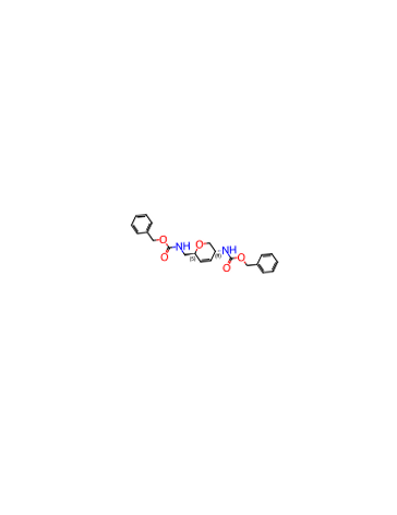 O=C(NC[C@@H]1C=C[C@@H](NC(=O)OCc2ccccc2)CO1)OCc1ccccc1